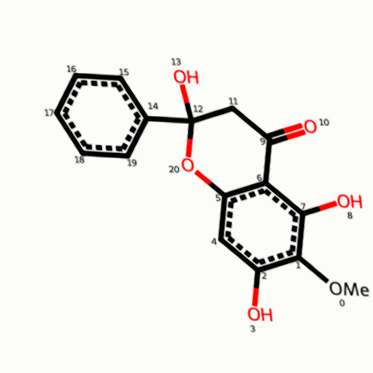 COc1c(O)cc2c(c1O)C(=O)CC(O)(c1ccccc1)O2